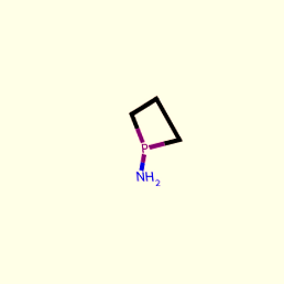 NP1CCC1